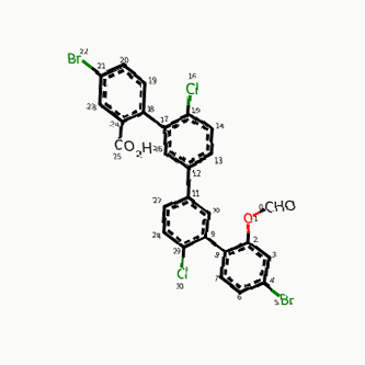 O=COc1cc(Br)ccc1-c1cc(-c2ccc(Cl)c(-c3ccc(Br)cc3C(=O)O)c2)ccc1Cl